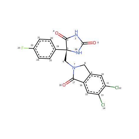 O=C1NC(=O)[C@@](CN2Cc3cc(Cl)c(Cl)cc3C2=O)(c2ccc(F)cc2)N1